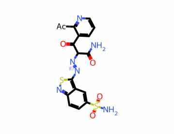 CC(=O)c1ncccc1C(=O)C(/N=N/c1snc2ccc(S(N)(=O)=O)cc12)C(N)=O